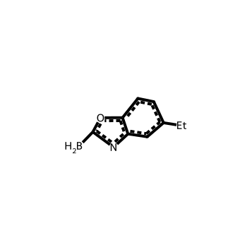 Bc1nc2cc(CC)ccc2o1